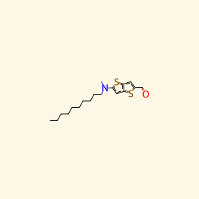 CCCCCCCCCCN(C)c1cc2sc(C=O)cc2s1